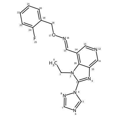 CCn1c(-n2cncn2)nc2cncc(C=NOCc3ccccc3F)c21